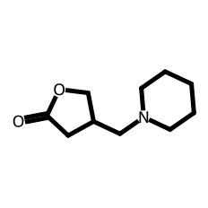 O=C1CC(CN2CCCCC2)CO1